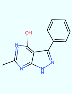 Cc1nc(O)c2c(-c3ccccc3)n[nH]c2n1